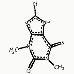 CCc1nc2c([nH]1)c(=S)n(C)c(=O)n2C